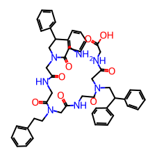 NCC(=O)N(CC(=O)NCC(=O)N(CCc1ccccc1)CC(=O)NCC(=O)N(CC(=O)NCC(=O)O)CC(c1ccccc1)c1ccccc1)CC(c1ccccc1)c1ccccc1